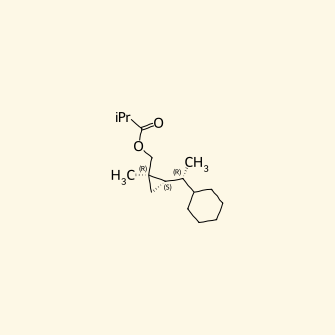 CC(C)C(=O)OC[C@]1(C)C[C@H]1[C@H](C)C1CCCCC1